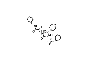 O=C(CNC(=O)C(CS(=O)(=O)Cc1ccccc1)NC(=O)N1CCOCC1)C(=O)NCc1ccccc1